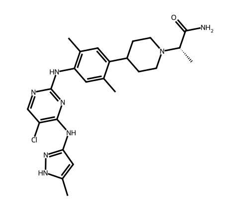 Cc1cc(Nc2nc(Nc3cc(C)c(C4CCN([C@@H](C)C(N)=O)CC4)cc3C)ncc2Cl)n[nH]1